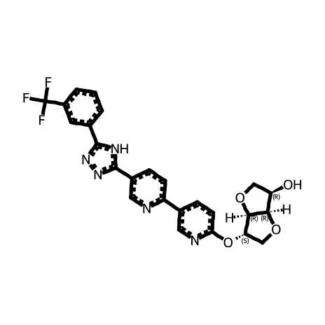 O[C@@H]1CO[C@H]2[C@@H]1OC[C@@H]2Oc1ccc(-c2ccc(-c3nnc(-c4cccc(C(F)(F)F)c4)[nH]3)cn2)cn1